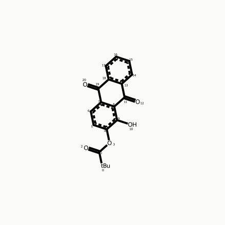 CC(C)(C)C(=O)Oc1ccc2c(c1O)C(=O)c1ccccc1C2=O